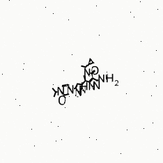 CC(C)N1CCN(c2cc(-c3cn(C(C)C4CC4)c(=O)c4c(N)n[nH]c34)nn2C)CC1=O